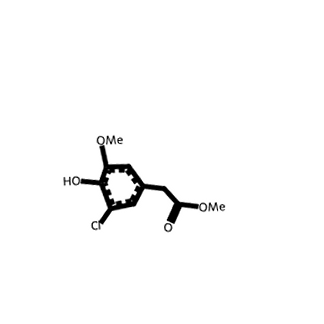 COC(=O)Cc1cc(Cl)c(O)c(OC)c1